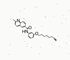 C#CCCCCCCOc1cccc(NC(=O)c2ccc3nc(C)ccc3c2)c1